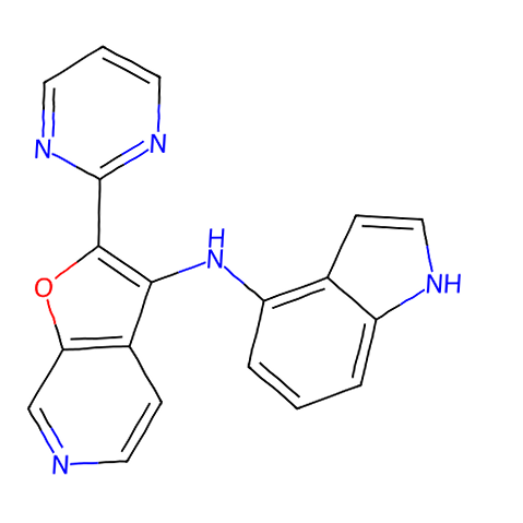 c1cnc(-c2oc3cnccc3c2Nc2cccc3[nH]ccc23)nc1